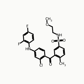 COCCNS(=O)(=O)c1ccc(C)c(C(=O)c2ccc(Nc3ccc(F)cc3F)cc2Cl)c1